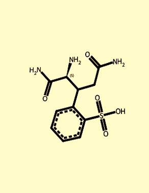 NC(=O)CC(c1ccccc1S(=O)(=O)O)[C@H](N)C(N)=O